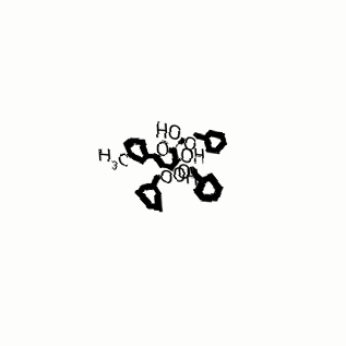 Cc1cccc(C2=C[C@](O)(OCc3ccccc3)[C@@](O)(OCc3ccccc3)[C@@H](C(O)OCc3ccccc3)O2)c1